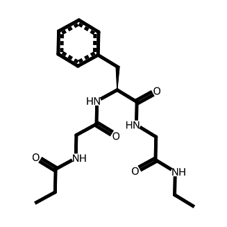 CCNC(=O)CNC(=O)[C@H](Cc1ccccc1)NC(=O)CNC(=O)CC